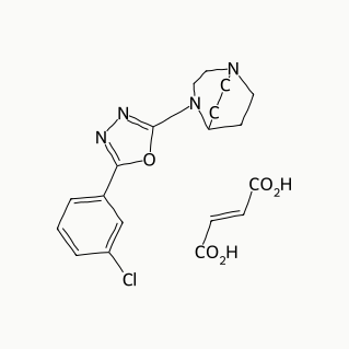 Clc1cccc(-c2nnc(N3CCN4CCC3CC4)o2)c1.O=C(O)/C=C/C(=O)O